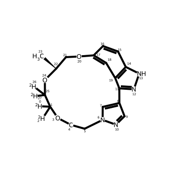 [2H]C1([2H])OCCn2cc(cn2)-c2n[nH]c3ccc(cc23)OC[C@H](C)OC1([2H])[2H]